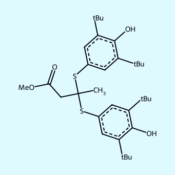 COC(=O)CC(C)(Sc1cc(C(C)(C)C)c(O)c(C(C)(C)C)c1)Sc1cc(C(C)(C)C)c(O)c(C(C)(C)C)c1